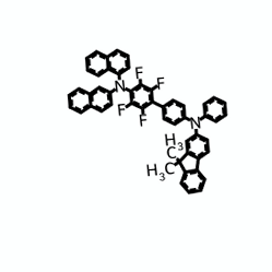 CC1(C)c2ccccc2-c2ccc(N(c3ccccc3)c3ccc(-c4c(F)c(F)c(N(c5ccc6ccccc6c5)c5cccc6ccccc56)c(F)c4F)cc3)cc21